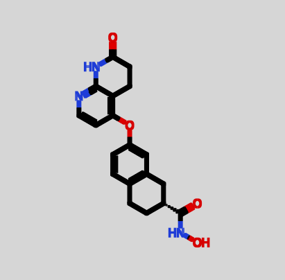 O=C1CCc2c(Oc3ccc4c(c3)C[C@H](C(=O)NO)CC4)ccnc2N1